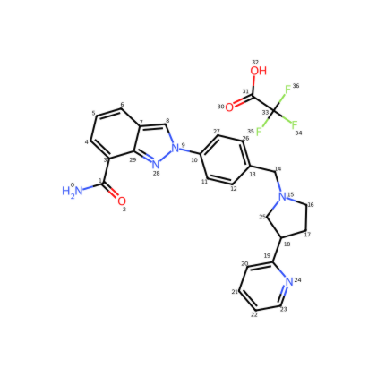 NC(=O)c1cccc2cn(-c3ccc(CN4CCC(c5ccccn5)C4)cc3)nc12.O=C(O)C(F)(F)F